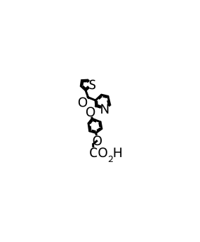 O=C(O)COc1ccc(Oc2ncccc2C(=O)c2cccs2)cc1